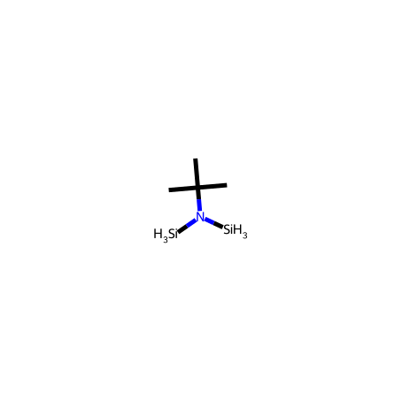 CC(C)(C)N([SiH3])[SiH3]